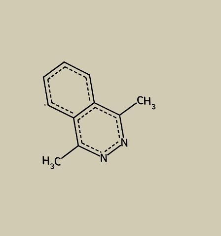 Cc1nnc(C)c2ccc[c]c12